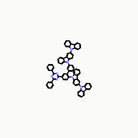 FC(F)(F)c1ccc(-n2c3ccccc3c3cc(-n4c5ccccc5c5ccccc54)ccc32)cc1-c1cc(-c2nc(-c3ccccc3)nc(-c3ccccc3)n2)ccc1-n1c2ccccc2c2cc(-n3c4ccccc4c4ccccc43)ccc21